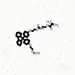 C=C(C)C(=O)OCCNC(=O)OCCOc1ccc(C2(c3ccc(OCCOC=O)cc3)c3ccccc3-c3ccccc32)cc1